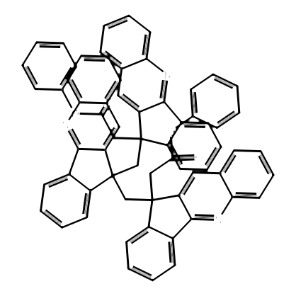 O=C(CC1(CC2(CC3(CC(=O)Oc4ccccc4)c4ccccc4-c4nc5ccccc5cc43)c3ccccc3-c3nc4ccccc4cc32)c2ccccc2-c2nc3ccccc3cc21)Oc1ccccc1